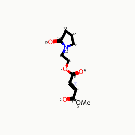 COC(=O)/C=C/C(=O)OCCN1CCCC1=O